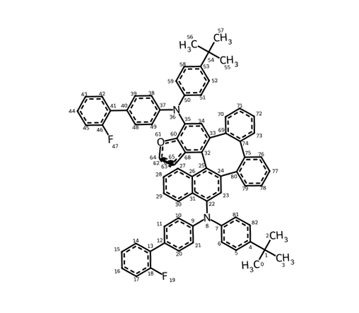 CC(C)(C)c1ccc(N(c2ccc(-c3ccccc3F)cc2)c2cc3c(c4ccccc24)-c2c(cc(N(c4ccc(-c5ccccc5F)cc4)c4ccc(C(C)(C)C)cc4)c4oc5ccccc5c24)-c2ccccc2-c2ccccc2-3)cc1